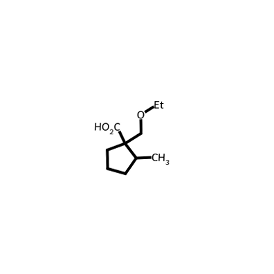 CCOCC1(C(=O)O)CCCC1C